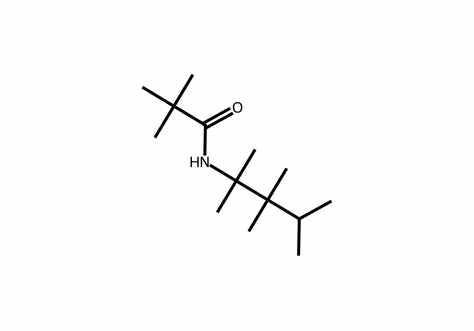 CC(C)C(C)(C)C(C)(C)NC(=O)C(C)(C)C